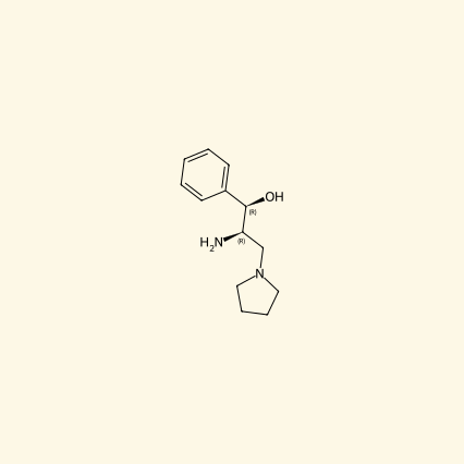 N[C@H](CN1CCCC1)[C@H](O)c1ccccc1